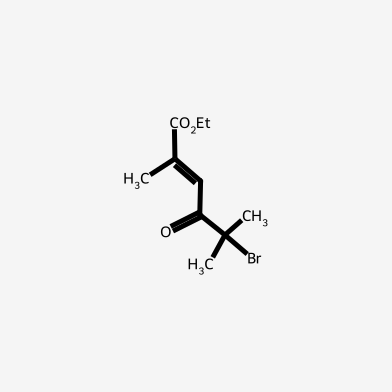 CCOC(=O)C(C)=CC(=O)C(C)(C)Br